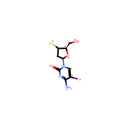 Nc1nc(=O)n([C@H]2CC(S)[C@@H](CO)O2)cc1I